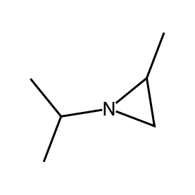 CC(C)N1CC1C